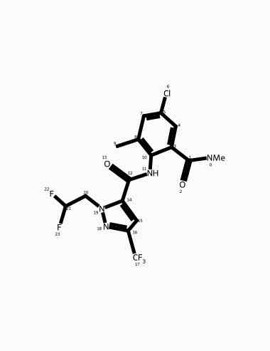 CNC(=O)c1cc(Cl)cc(C)c1NC(=O)c1cc(C(F)(F)F)nn1CC(F)F